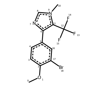 COc1ccc(-c2ncn(C)c2C(F)(F)F)cc1Br